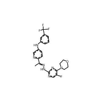 C/C(=N\Nc1ncc(F)c(N2CCOCC2)n1)c1ccc(Nc2cccc(C(F)(F)F)c2)cn1